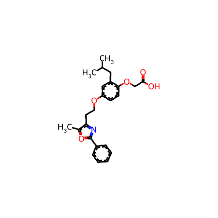 Cc1oc(-c2ccccc2)nc1CCOc1ccc(OCC(=O)O)c(CC(C)C)c1